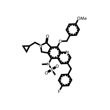 COc1ccc(COc2c3c(c(N(C)S(C)(=O)=O)c4cc(Cc5ccc(F)cc5)cnc24)CN(CC2CC2)C3=O)cc1